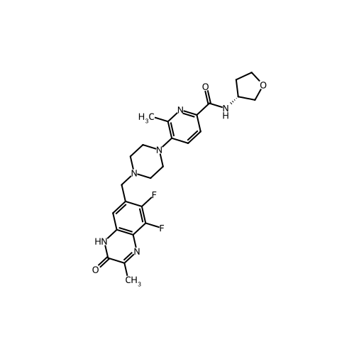 Cc1nc(C(=O)N[C@@H]2CCOC2)ccc1N1CCN(Cc2cc3[nH]c(=O)c(C)nc3c(F)c2F)CC1